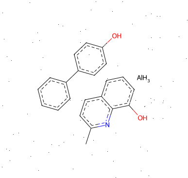 Cc1ccc2cccc(O)c2n1.Oc1ccc(-c2ccccc2)cc1.[AlH3]